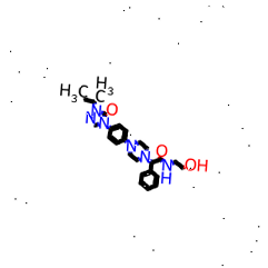 CCC(C)n1ncn(-c2ccc(N3CCN(C(C(=O)NCCO)c4ccccc4)CC3)cc2)c1=O